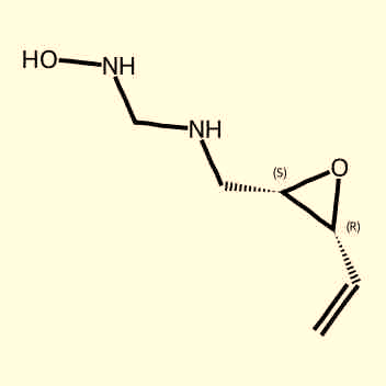 C=C[C@H]1O[C@H]1CNCNO